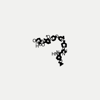 COc1c(N2CCC(O[C@H]3CCN(CC4CCN(c5cc(-c6n[nH]c7ccc(OC8(C)CC8)cc67)ncn5)CC4)C(C)(C)C3)CC2)ccc2c1CN(C1CCC(=O)NC1=O)C2=O